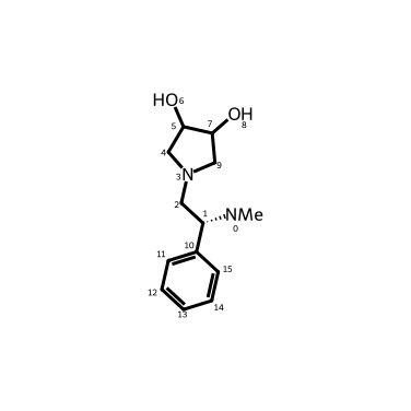 CN[C@@H](CN1CC(O)C(O)C1)c1ccccc1